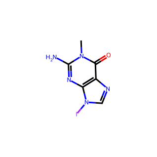 Cn1c(N)nc2c(ncn2I)c1=O